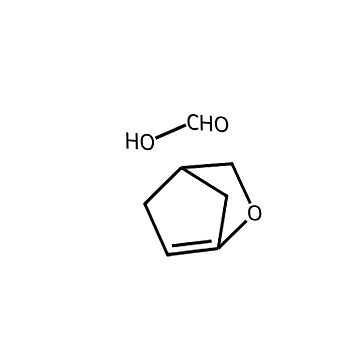 C1=C2CC(C1)CO2.O=CO